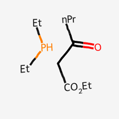 CCCC(=O)CC(=O)OCC.CCPCC